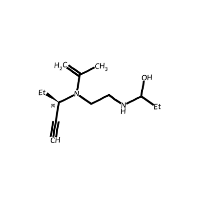 C#C[C@@H](CC)N(CCNC(O)CC)C(=C)C